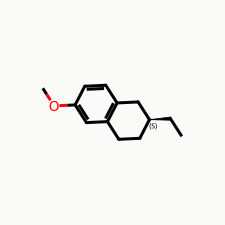 CC[C@H]1CCc2cc(OC)ccc2C1